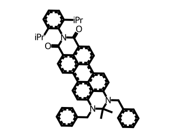 CC(C)c1cccc(C(C)C)c1N1C(=O)c2ccc3c4ccc5c6c(ccc(c7ccc(c2c37)C1=O)c64)N(Cc1ccccc1)C(C)(C)N5Cc1ccccc1